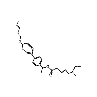 CCCCCOc1ccc(-c2ccc(C(C)OC(=O)CCCCC(C)CC)cc2)cc1